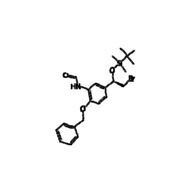 CC(C)(C)[Si](C)(C)O[C@@H](CBr)c1ccc(OCc2ccccc2)c(NC=O)c1